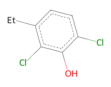 CCc1ccc(Cl)c(O)c1Cl